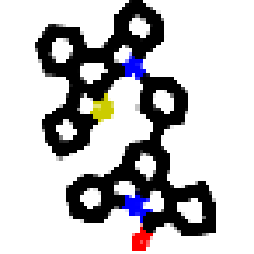 O=c1c2ccccc2c2cc(-c3cccc(-n4c5ccccc5c5c6ccccc6c6c7ccccc7sc6c54)c3)cc3c4ccccc4n1c23